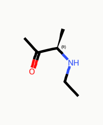 CCN[C@H](C)C(C)=O